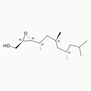 CC(C)C[C@H](C)C[C@H](C)C[C@H](C)[C@H]1O[C@@H]1CO